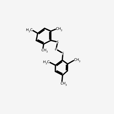 Cc1cc(C)c(S[P]Sc2c(C)cc(C)cc2C)c(C)c1